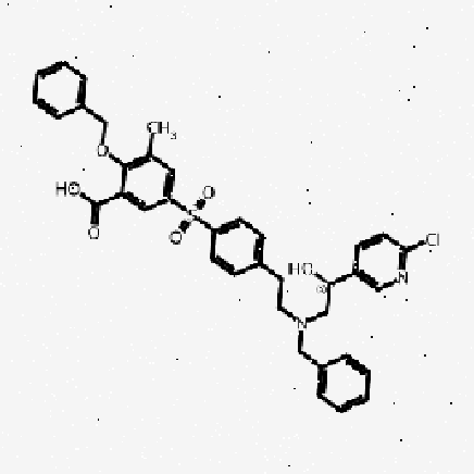 Cc1cc(S(=O)(=O)c2ccc(CCN(Cc3ccccc3)C[C@@H](O)c3ccc(Cl)nc3)cc2)cc(C(=O)O)c1OCc1ccccc1